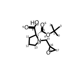 CC(C)(C)OC(=O)[C@@]1(C(=O)O)CCCN1CC1CO1